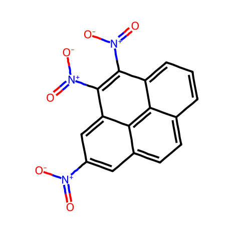 O=[N+]([O-])c1cc2ccc3cccc4c([N+](=O)[O-])c([N+](=O)[O-])c(c1)c2c34